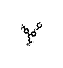 O=C(O)C=CC=C(c1ccc(C(F)(F)F)cc1)c1cccc(OCC2CCOCC2)c1